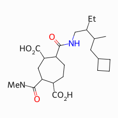 CCC(CNC(=O)C1CCC(C(=O)O)C(C(=O)NC)CC1C(=O)O)C(C)CC1CCC1